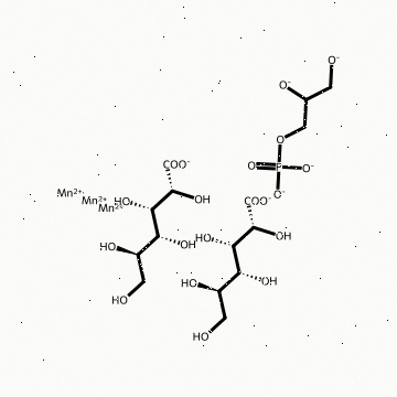 O=C([O-])[C@H](O)[C@@H](O)[C@H](O)[C@H](O)CO.O=C([O-])[C@H](O)[C@@H](O)[C@H](O)[C@H](O)CO.O=P([O-])([O-])OCC([O-])C[O-].[Mn+2].[Mn+2].[Mn+2]